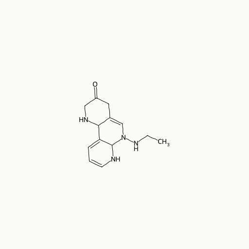 CCNN1C=C2CC(=O)CNC2C2=CC=CNC21